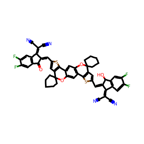 N#CC(C#N)=C1/C(=C/c2cc3c(s2)-c2cc4c(cc2OC32CCCCC2)-c2sc(/C=C3/C(=C(C#N)C#N)c5cc(F)c(F)cc5C3O)cc2C2(CCCCC2)O4)C(=O)c2cc(F)c(F)cc21